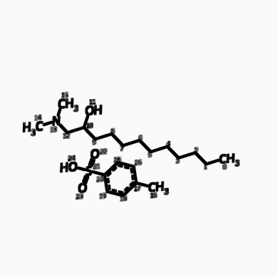 CCCCCCCCCCC(O)CN(C)C.Cc1ccc(S(=O)(=O)O)cc1